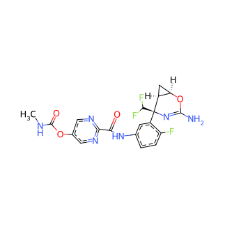 CNC(=O)Oc1cnc(C(=O)Nc2ccc(F)c([C@@]3(C(F)F)N=C(N)O[C@@H]4C[C@@H]43)c2)nc1